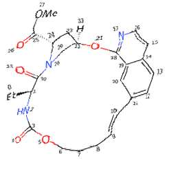 CC[C@@H]1NC(=O)OCCC/C=C/c2ccc3ccnc(c3c2)O[C@@H]2C[C@@H](C(=O)OC)N(C2)C1=O